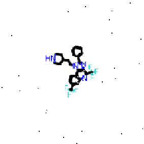 FC(F)(F)c1ccc2c(c1)nc(C(F)(F)F)c1nc(-c3ccccc3)n(CCC3CCNCC3)c12